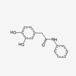 O=C(Cc1ccc(O)c(O)c1)Nc1ccccc1